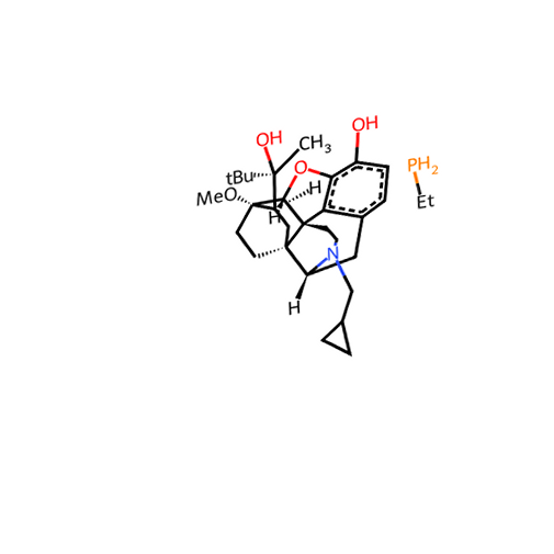 CCP.CO[C@@]12CC[C@@]3(C[C@@H]1[C@](C)(O)C(C)(C)C)[C@H]1Cc4ccc(O)c5c4[C@@]3(CCN1CC1CC1)[C@H]2O5